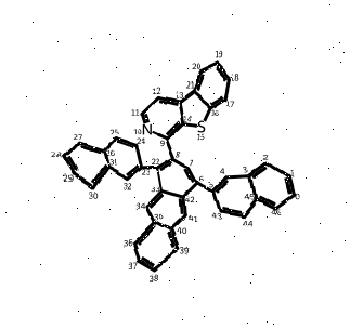 c1ccc2cc(-c3cc(-c4nccc5c4sc4ccccc45)c(-c4ccc5ccccc5c4)c4cc5ccccc5cc34)ccc2c1